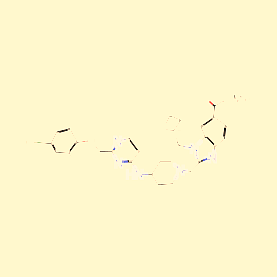 COC(=O)c1ccc2nc(CN3CCC(Nc4ccnc(COc5ccc(Cl)cc5F)n4)CC3)n(C[C@@H]3CCO3)c2c1